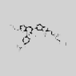 CCOc1ccc2cc(-c3ccc4nc(CCNCCO)n(C)c4c3)c(=O)n(-c3ccc(OC(F)F)cc3)c2n1